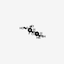 CCOc1cc(C(Nc2ccc(C(=N)NO)cc2)C(=O)O)c(F)cc1OCCO